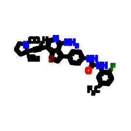 CC(C)(C)[C@]1(C#Cc2cnc(N)c3c(-c4ccc(NC(=O)Nc5cc(C(F)(F)F)ccc5F)cc4)csc23)CCCN1C(=O)O